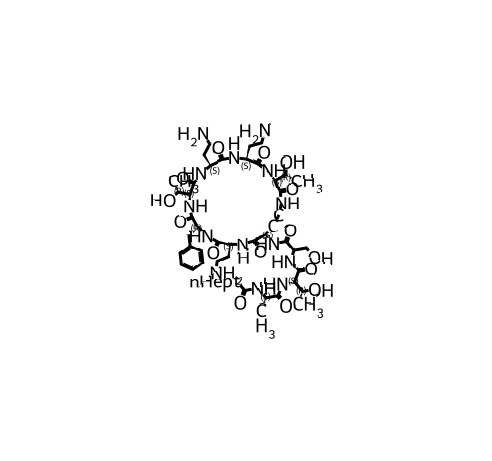 CCCCCCCC(=O)N[C@@H](C)C(=O)N[C@H](C(=O)NC(CO)C(=O)N[C@H]1CCNC(=O)[C@H]([C@@H](C)O)NC(=O)[C@H](CCN)NC(=O)[C@H](CCN)NC(=O)[C@H]([C@@H](C)O)NC(=O)[C@@H](Cc2ccccc2)NC(=O)[C@H](CCN)NC1=O)[C@@H](C)O